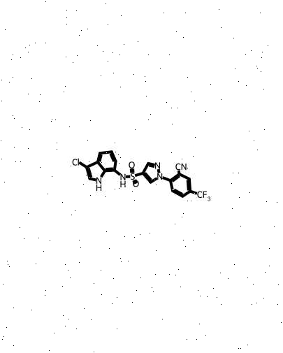 N#Cc1cc(C(F)(F)F)ccc1-n1cc(S(=O)(=O)Nc2cccc3c(Cl)c[nH]c23)cn1